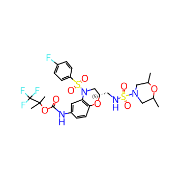 CC1CN(S(=O)(=O)NC[C@H]2CN(S(=O)(=O)c3ccc(F)cc3)c3cc(NC(=O)OC(C)(C)C(F)(F)F)ccc3O2)CC(C)O1